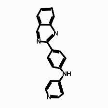 c1ccc2nc(-c3ccc(Nc4ccncc4)cc3)ncc2c1